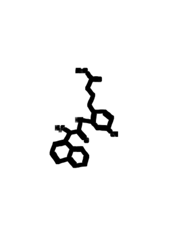 COC(=O)CCCc1ccc(C#N)cc1NC(=O)C(C)c1cccc2ccccc12